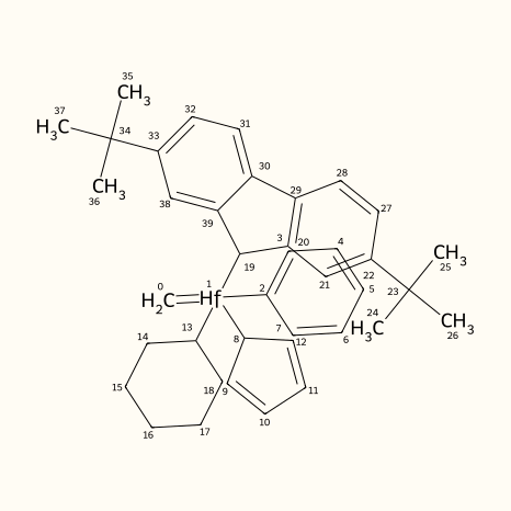 [CH2]=[Hf]([c]1ccccc1)([CH]1C=CC=C1)([CH]1CCCCC1)[CH]1c2cc(C(C)(C)C)ccc2-c2ccc(C(C)(C)C)cc21